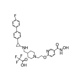 O=C(NO)c1ccc(OCCN2CCC(CNC3CC3c3ccc(-c4ccc(F)cc4)cc3)CC2)nc1.O=C(O)C(F)(F)F